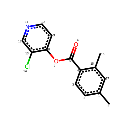 Cc1ccc(C(=O)Oc2c[c]ncc2Cl)c(C)c1